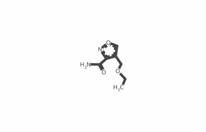 CCOCc1conc1C(N)=O